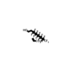 C=CC(=O)O.OCCC(F)(F)C(F)(F)C(F)(F)C(F)(F)C(F)(F)C(F)(F)F